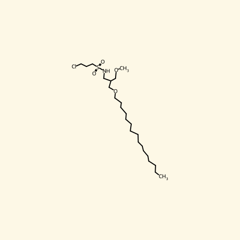 CCCCCCCCCCCCCCCCOCC(CNS(=O)(=O)CCCCl)COC